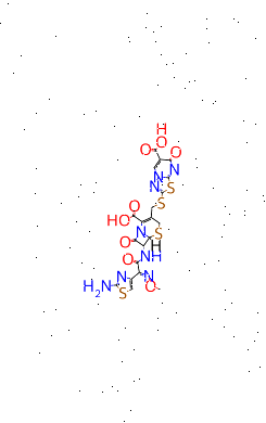 CON=C(C(=O)N[C@@H]1C(=O)N2C(C(=O)O)=C(CSc3nn4cc(C(=O)O)c(=O)nc4s3)CS[C@H]12)c1csc(N)n1